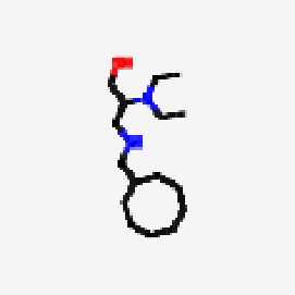 CCN(CC)C(CO)CNCC1CCCCCCC1